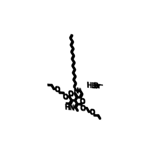 Br.CCCCCCCCCCCCCCCC[n+]1cccc(C2C(C(=O)OCCOCCC)=C(C)NC(C)=C2C(=O)OCCOCCC)c1.[Br-]